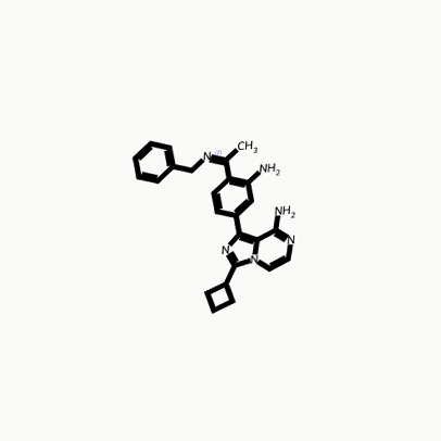 C/C(=N/Cc1ccccc1)c1ccc(-c2nc(C3CCC3)n3ccnc(N)c23)cc1N